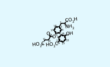 NC(Cc1ccc(OC(=O)CCC(=O)O)cc1)C(=O)O.O=C(O)c1ccc(O)cc1